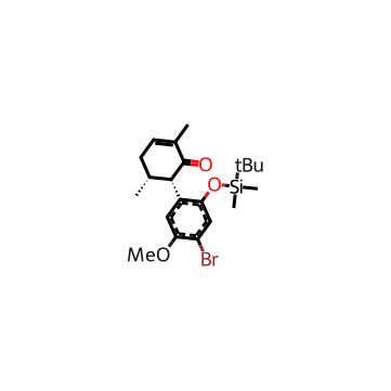 COc1cc([C@H]2C(=O)C(C)=CC[C@H]2C)c(O[Si](C)(C)C(C)(C)C)cc1Br